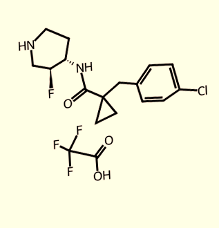 O=C(N[C@H]1CCNC[C@@H]1F)C1(Cc2ccc(Cl)cc2)CC1.O=C(O)C(F)(F)F